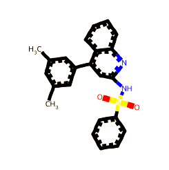 Cc1cc(C)cc(-c2cc(NS(=O)(=O)c3ccccc3)nc3ccccc23)c1